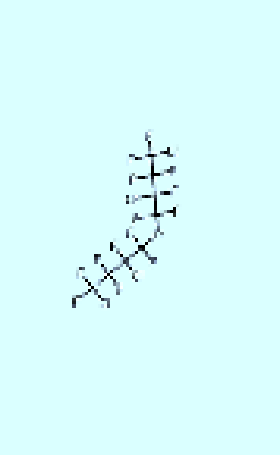 FC(F)(Cl)C(F)(F)C(F)(Cl)C(F)(F)OC(F)(F)C(F)(Cl)C(F)(F)C(F)(F)Cl